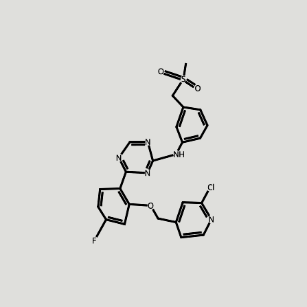 CS(=O)(=O)Cc1cccc(Nc2ncnc(-c3ccc(F)cc3OCc3ccnc(Cl)c3)n2)c1